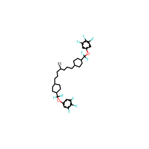 CCC(CCCC1CCC(C(F)(F)Oc2cc(F)c(F)c(F)c2)CC1)CCCC1CCC(C(F)(F)Oc2cc(F)c(F)c(F)c2)CC1